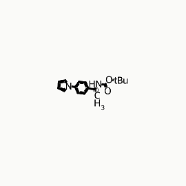 C[C@@H](NC(=O)OC(C)(C)C)c1ccc(-n2cccc2)cc1